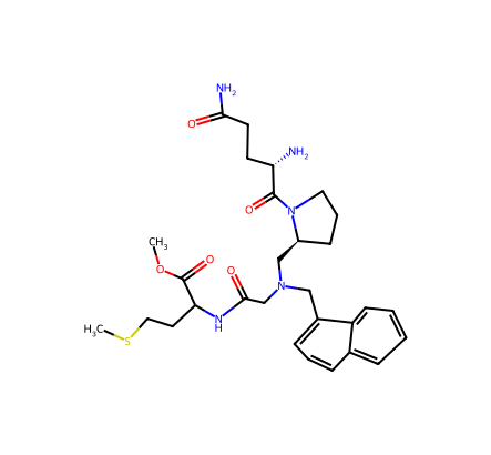 COC(=O)C(CCSC)NC(=O)CN(Cc1cccc2ccccc12)C[C@@H]1CCCN1C(=O)[C@@H](N)CCC(N)=O